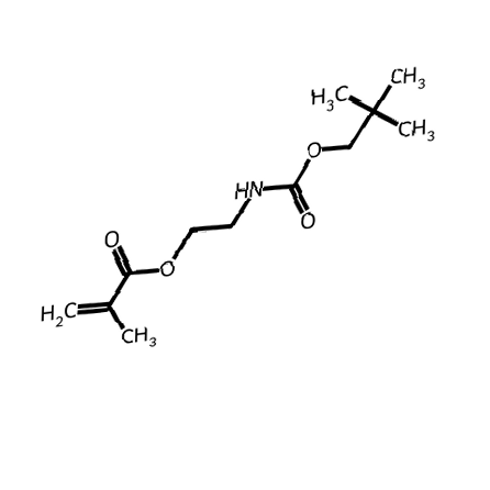 C=C(C)C(=O)OCCNC(=O)OCC(C)(C)C